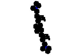 CC1(C)c2cc(-c3ccc4c(c3)C3(c5ccccc5-c5ccccc53)c3cc(-c5ccc6c(c5)C(C)(C)c5cc(-c7ccc8c(c7)c7ccccc7n8-c7cccc8ccccc78)ccc5-6)ccc3-4)ccc2-c2ccc(-c3ccc4c(c3)c3ccccc3n4-c3cccc4ccccc34)cc21